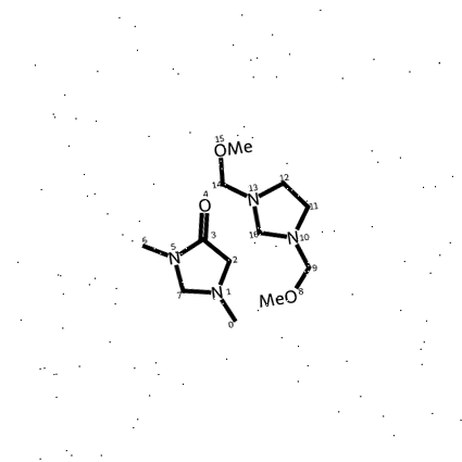 CN1CC(=O)N(C)C1.COCN1CCN(COC)C1